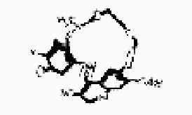 COc1cc2ncc(C#N)c3c2cc1OCCCCCCN(C)Cc1cc(F)c(Cl)cc1N3